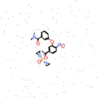 C[C@H](OP(=O)(N1CC1)N1CC1)c1ccc(N=O)c(Oc2cccc(C(=O)N(C)C)c2)c1